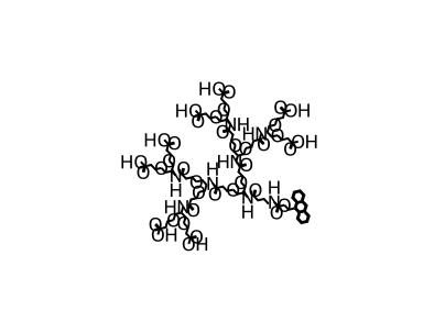 O=C(O)CCOCC(COCCC(=O)O)NC(=O)CCOCC(COCCC(=O)NC(COCCC(=O)O)COCCC(=O)O)NC(=O)CCOCC(COCCC(=O)NC(COCCC(=O)NC(COCCC(=O)O)COCCC(=O)O)COCCC(=O)NC(COCCC(=O)O)COCCC(=O)O)NC(=O)CCCNC(=O)OCc1c2ccccc2cc2ccccc12